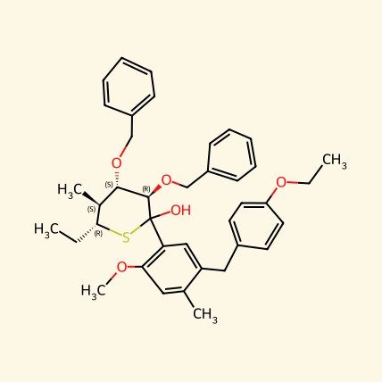 CCOc1ccc(Cc2cc(C3(O)S[C@H](CC)[C@@H](C)[C@H](OCc4ccccc4)[C@H]3OCc3ccccc3)c(OC)cc2C)cc1